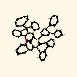 c1ccc(-c2ccc(N(c3ccc4c(c3)C(c3ccccc3)(c3ccccc3)c3ccccc3-4)c3c(-c4ccc5ccccc5c4)c4ccccc4c4ccccc34)cc2-c2ccccc2)cc1